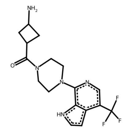 NC1CC(C(=O)N2CCN(c3ncc(C(F)(F)F)c4cc[nH]c34)CC2)C1